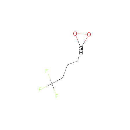 FC(F)(F)CCC[SiH]1OO1